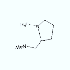 CNCC1CCCN1C